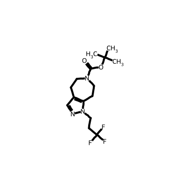 CC(C)(C)OC(=O)N1CCc2cnn(CCC(F)(F)F)c2CC1